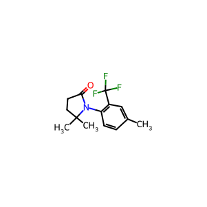 Cc1ccc(N2C(=O)CCC2(C)C)c(C(F)(F)F)c1